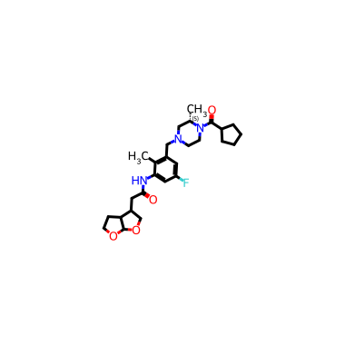 Cc1c(CN2CCN(C(=O)C3CCCC3)[C@@H](C)C2)cc(F)cc1NC(=O)CC1COC2OCCC12